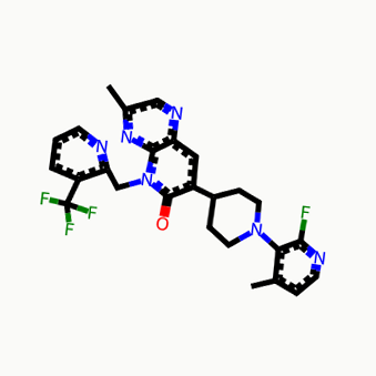 Cc1cnc2cc(C3CCN(c4c(C)ccnc4F)CC3)c(=O)n(Cc3ncccc3C(F)(F)F)c2n1